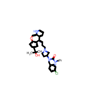 CC(C)NC(=O)N(Cc1ccc(Cl)cc1)C1CCN(CC/C=C2/C3=CC=CNC3=COc3ccc(C(C)(C)O)cc32)C1